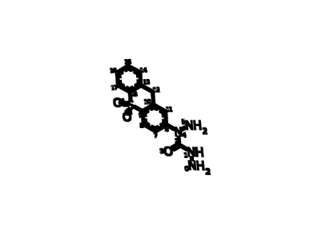 NNC(=O)N(N)c1ccc2c(c1)Cc1ccccc1S2(=O)=O